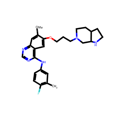 COc1cc2ncnc(Nc3ccc(F)c(C)c3)c2cc1OCCCN1CCC2CCNC2C1